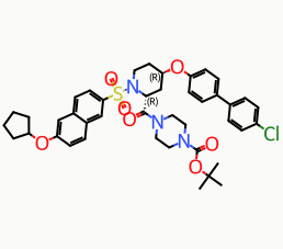 CC(C)(C)OC(=O)N1CCN(C(=O)[C@H]2C[C@H](Oc3ccc(-c4ccc(Cl)cc4)cc3)CCN2S(=O)(=O)c2ccc3cc(OC4CCCC4)ccc3c2)CC1